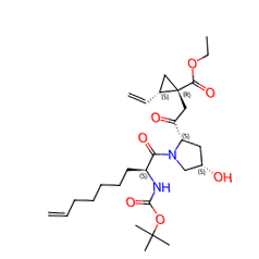 C=CCCCCC[C@H](NC(=O)OC(C)(C)C)C(=O)N1C[C@@H](O)C[C@H]1C(=O)C[C@]1(C(=O)OCC)C[C@H]1C=C